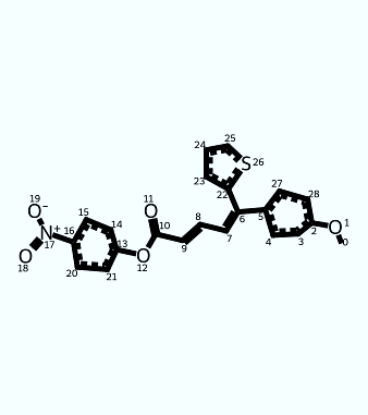 COc1ccc(/C(=C/C=C/C(=O)Oc2ccc([N+](=O)[O-])cc2)c2cccs2)cc1